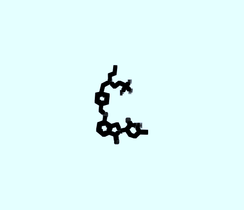 C=C1CCC(N2Cc3c(OCc4ccc(CN(CCC)CCC(F)(F)F)cc4)cccc3C2=O)C(=O)N1